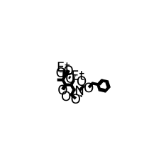 CCOP(=O)(OCC)C(C)C(=O)C(C)C1C(=O)OCN1C(=O)OCc1ccccc1